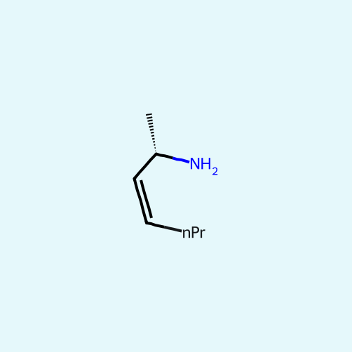 CCC/C=C\[C@H](C)N